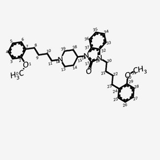 COc1ccccc1CCCCN1CCC(n2c(=O)n(CCCCc3ccccc3OC)c3ccccc32)CC1